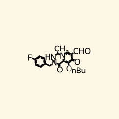 CCCCOc1c2n(cc(C=O)c1=O)C(C)NN(Cc1ccc(F)cc1)C2=O